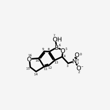 O=[N+]([O-])CC1OB(O)c2cc3c(cc21)CCO3